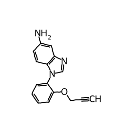 C#CCOc1ccccc1-n1cnc2cc(N)ccc21